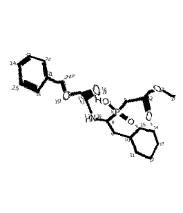 COC(=O)CP(=O)(O)C(CC1CCCCC1)NC(=O)OCc1ccccc1